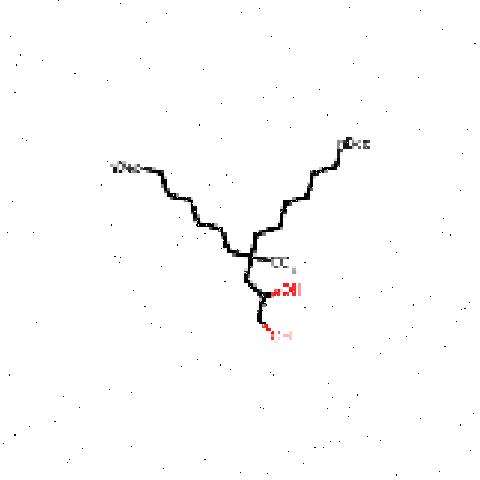 CCCCCCCCCCCCCCCCC(CCCCCCCCCCCCCCCC)(CC(O)CO)C(=O)O